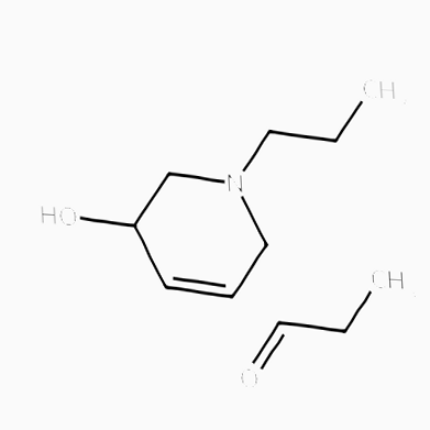 CCC=O.CCCN1CC=CC(O)C1